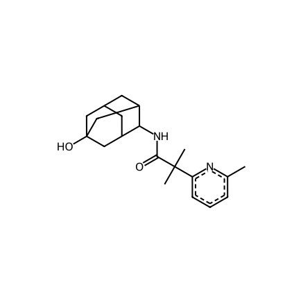 Cc1cccc(C(C)(C)C(=O)NC2C3CC4CC2CC(O)(C4)C3)n1